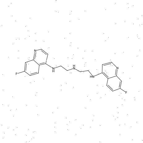 Fc1ccc2c(NCCNCCNc3ccnc4cc(F)ccc34)ccnc2c1